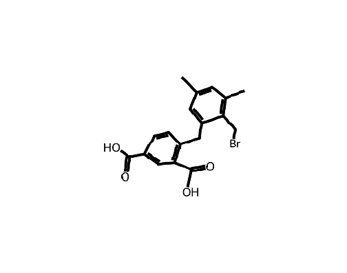 Cc1cc(C)c(CBr)c(Cc2ccc(C(=O)O)cc2C(=O)O)c1